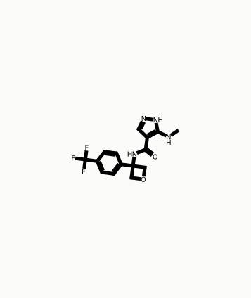 CNc1[nH]ncc1C(=O)NC1(c2ccc(C(F)(F)F)cc2)COC1